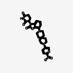 O=C1CCC(n2c(=O)oc3c(N4CCC5(CCN(c6ccc([N+](=O)[O-])nc6)CC5)CC4)cccc32)C(=O)N1